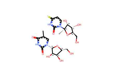 C[C@@]1(n2ccc(=S)[nH]c2=O)O[C@H](CO)[C@@H](O)[C@H]1O.Cc1cn([C@@H]2O[C@H](CO)[C@@H](O)[C@H]2O)c(=O)[nH]c1=O